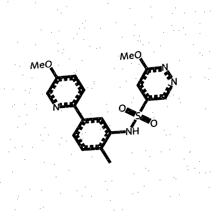 COc1ccc(-c2ccc(C)c(NS(=O)(=O)c3cnnc(OC)c3)c2)nc1